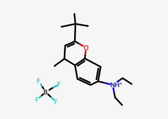 CC[NH+](CC)c1ccc2c(c1)OC(C(C)(C)C)=CC2C.F[B-](F)(F)F